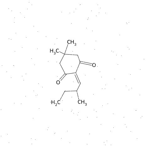 [CH2]CC(C)C=C1C(=O)CC(C)(C)CC1=O